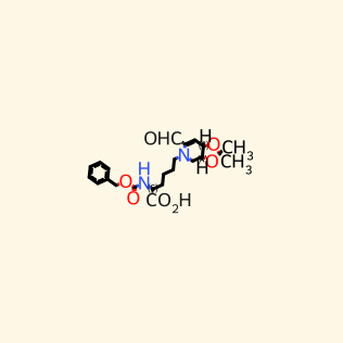 CC1(C)O[C@H]2C=C(C=O)N(CCCC[C@H](NC(=O)OCc3ccccc3)C(=O)O)C[C@H]2O1